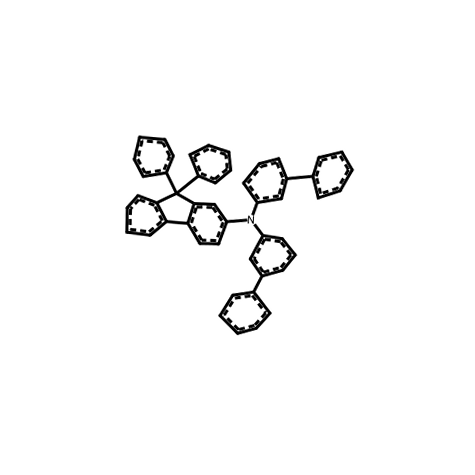 c1ccc(-c2cccc(N(c3cccc(-c4ccccc4)c3)c3ccc4c(c3)C(c3ccccc3)(c3ccccc3)c3ccccc3-4)c2)cc1